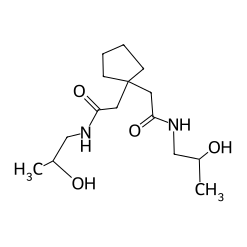 CC(O)CNC(=O)CC1(CC(=O)NCC(C)O)CCCC1